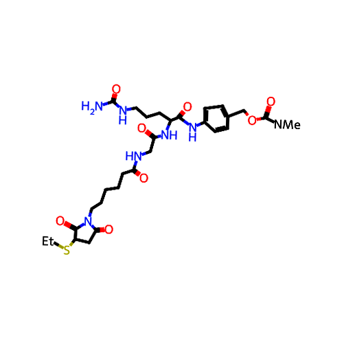 CCSC1CC(=O)N(CCCCCC(=O)NCC(=O)NC(CCCNC(N)=O)C(=O)Nc2ccc(COC(=O)NC)cc2)C1=O